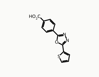 O=C(O)c1ccc(-c2nnc(-c3cccs3)o2)cc1